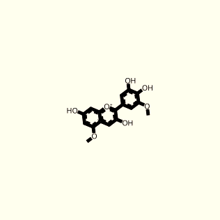 COc1cc(-c2[o+]c3cc(O)cc(OC)c3cc2O)cc(O)c1O